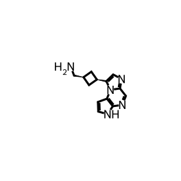 NC[C@H]1C[C@@H](c2cnc3cnc4[nH]ccc4n32)C1